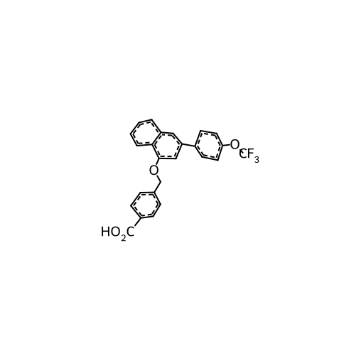 O=C(O)c1ccc(COc2cc(-c3ccc(OC(F)(F)F)cc3)cc3ccccc23)cc1